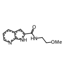 COCCNC(=O)c1cc2cccnc2[nH]1